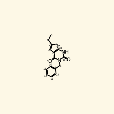 CCc1cc2c(=O)n(Cc3ccccc3)c(=O)[nH]c2s1